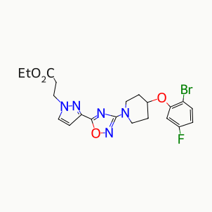 CCOC(=O)CCn1ccc(-c2nc(N3CCC(Oc4cc(F)ccc4Br)CC3)no2)n1